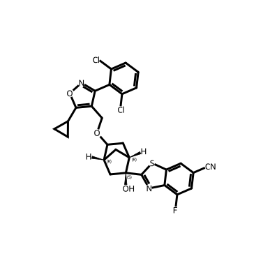 N#Cc1cc(F)c2nc([C@]3(O)C[C@H]4C[C@@H]3CC4OCc3c(-c4c(Cl)cccc4Cl)noc3C3CC3)sc2c1